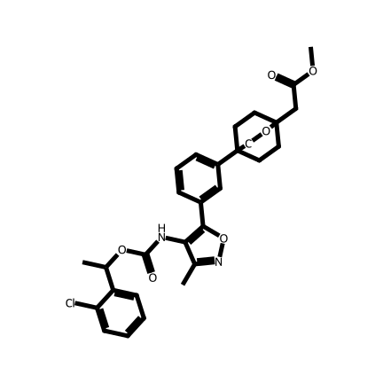 COC(=O)CC12CCC(c3cccc(-c4onc(C)c4NC(=O)OC(C)c4ccccc4Cl)c3)(CC1)CO2